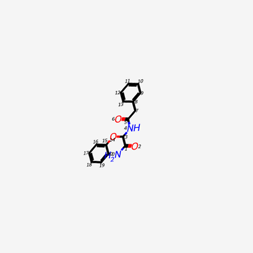 NC(=O)C(NC(=O)Cc1ccccc1)Oc1ccccc1